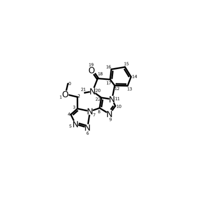 COCc1cnnn1-c1ncn2c3ccccc3c(=O)n(C)c12